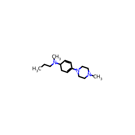 CCCN(C)C1C=CC(N2CCN(C)CC2)=CC1